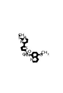 COc1ccc(NS(=O)(=O)c2ccc(-c3ccnc(SC)n3)s2)c2ncccc12